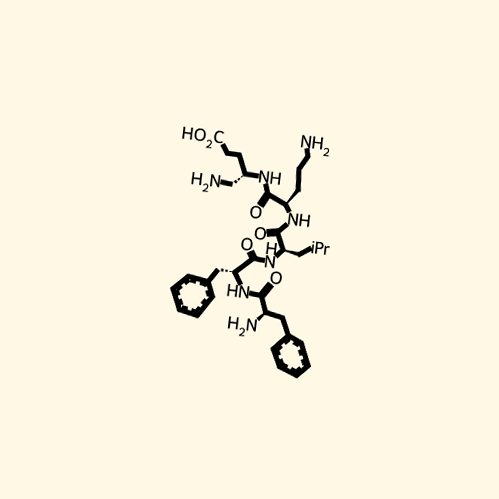 CC(C)C[C@@H](NC(=O)[C@@H](Cc1ccccc1)NC(=O)[C@H](N)Cc1ccccc1)C(=O)N[C@H](CCCN)C(=O)N[C@H](CN)CCC(=O)O